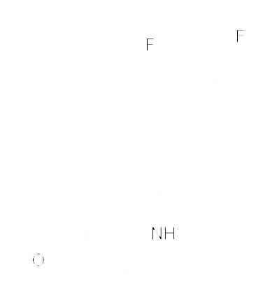 O=C1CN[C@@H](c2ccc(F)c(F)c2)C1